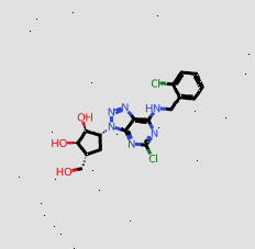 OC[C@H]1C[C@@H](n2nnc3c(NCc4ccccc4Cl)nc(Cl)nc32)[C@H](O)[C@@H]1O